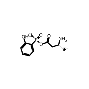 CC(C)[C@@H](N)CC(=O)O[P@](=O)(Cl)c1ccccc1O